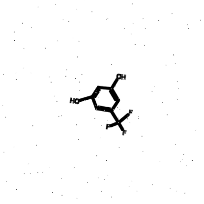 Oc1cc(O)cc(C(F)(F)F)c1